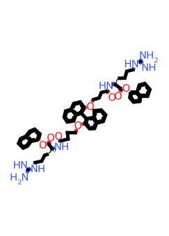 N=C(N)NCCCC[C@@H](NC(=O)CCCOc1ccc2ccccc2c1-c1c(OCCCC(=O)N[C@H](CCCCNC(=N)N)C(=O)Oc2cccc3ccccc23)ccc2ccccc12)C(=O)Oc1cccc2ccccc12